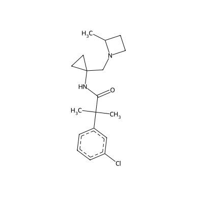 CC1CCN1CC1(NC(=O)C(C)(C)c2cccc(Cl)c2)CC1